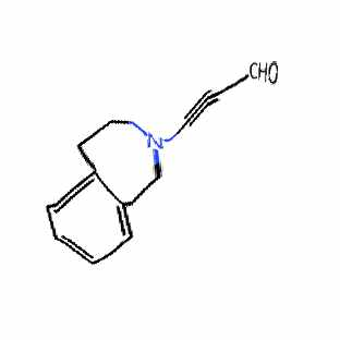 O=CC#CN1CCc2ccccc2C1